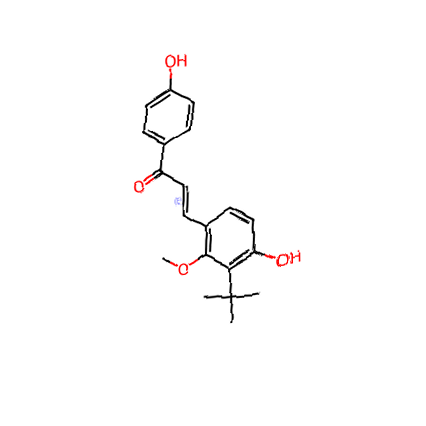 COc1c(/C=C/C(=O)c2ccc(O)cc2)ccc(O)c1C(C)(C)C